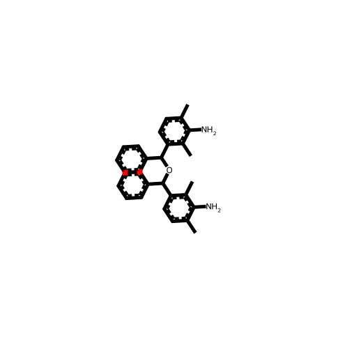 Cc1ccc(C(OC(c2ccccc2)c2ccc(C)c(N)c2C)c2ccccc2)c(C)c1N